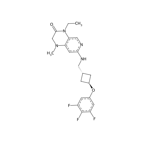 CCN1C(=O)CN(C)c2cc(NC[C@H]3C[C@H](Oc4cc(F)c(F)c(F)c4)C3)ncc21